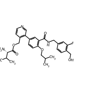 CC(C)COc1ccc(-c2cnccc2COC(=O)[C@@H](N)C(C)C)cc1C(=O)NCc1ccc(CO)c(F)c1